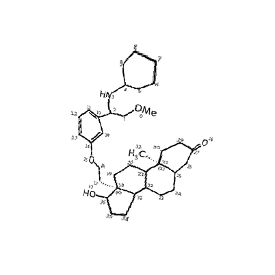 COCC(NC1CCCCC1)c1cccc(OCC[C@]23CCC4C(CCC5CC(=O)CC[C@@]54C)C2CCC3O)c1